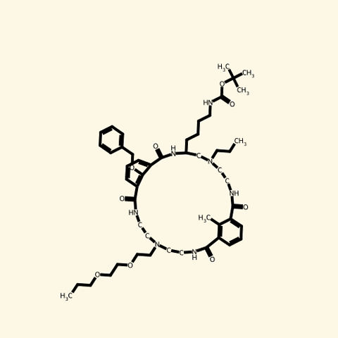 CCCOCCOCCN1CCNC(=O)c2cccc(c2C)C(=O)NCCN(CCC)CC(CCCCNC(=O)OC(C)(C)C)NC(=O)c2cccc(c2OCc2ccccc2)C(=O)NCC1